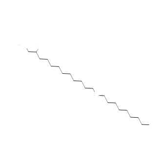 CCCCCCCCCOCCCCCCCCCCC(O)CO